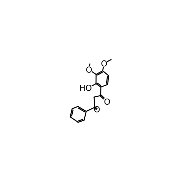 COc1ccc(C(=O)CC(=O)c2ccccc2)c(O)c1OC